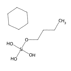 C1CCCCC1.CCCCO[Si](O)(O)O